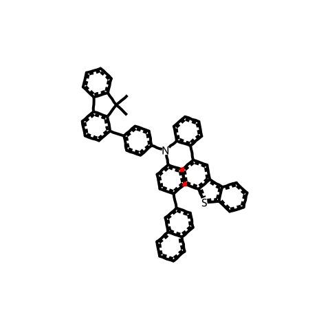 CC1(C)c2ccccc2-c2cccc(-c3ccc(N(c4ccc(-c5ccc6ccccc6c5)cc4)c4ccccc4-c4ccc5sc6ccccc6c5c4)cc3)c21